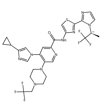 C[C@H](n1ccnc1-c1nc(NC(=O)c2cc(-n3cnc(C4CC4)c3)c(N3CCN(CC(F)(F)F)CC3)cn2)cs1)C(F)(F)F